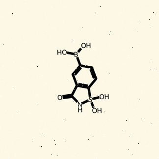 O=C1NS(O)(O)c2ccc(B(O)O)cc21